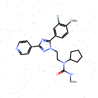 CCCCCCNC(=O)N(CCn1nc(-c2ccncc2)nc1-c1ccc(OC)c(Cl)c1)C1CCCC1